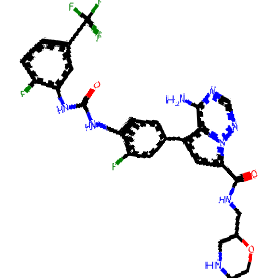 Nc1ncnn2c(C(=O)NCC3CNCCO3)cc(-c3ccc(NC(=O)Nc4cc(C(F)(F)F)ccc4F)c(F)c3)c12